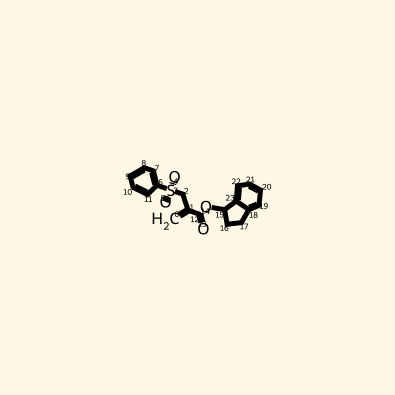 C=C(CS(=O)(=O)c1ccccc1)C(=O)OC1CCc2ccccc21